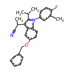 Cc1cc(-n2c(C(C)C)c(C(C)C#N)c3cc(OCc4ccccc4)ccc32)ccc1F